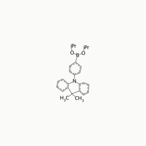 CC(C)OB(OC(C)C)c1ccc(N2c3ccccc3C(C)(C)c3ccccc32)cc1